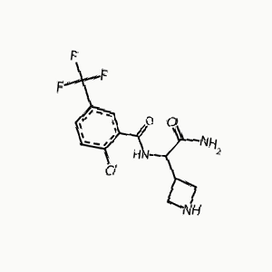 NC(=O)C(NC(=O)c1cc(C(F)(F)F)ccc1Cl)C1CNC1